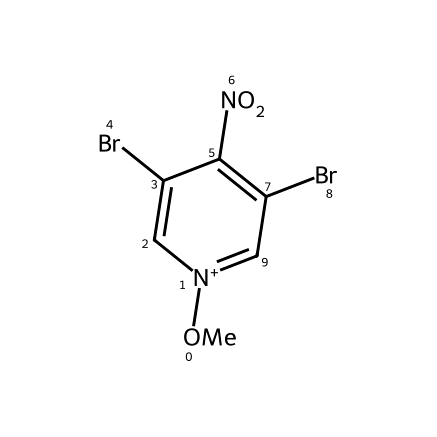 CO[n+]1cc(Br)c([N+](=O)[O-])c(Br)c1